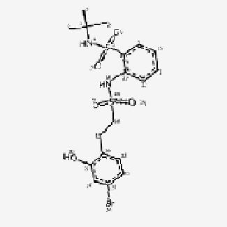 CC(C)(C)NS(=O)(=O)c1ccccc1NS(=O)(=O)CCc1ccc(Br)cc1O